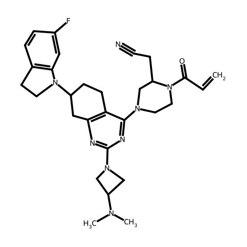 C=CC(=O)N1CCN(c2nc(N3CC(N(C)C)C3)nc3c2CCC(N2CCc4ccc(F)cc42)C3)CC1CC#N